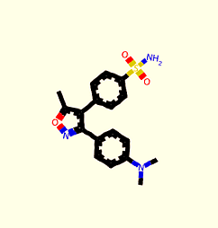 Cc1onc(-c2ccc(N(C)C)cc2)c1-c1ccc(S(N)(=O)=O)cc1